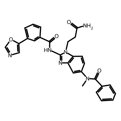 CN(C(=O)c1ccccc1)c1ccc2c(c1)nc(NC(=O)c1cccc(-c3cnco3)c1)n2CCC(N)=O